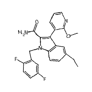 CCc1ccc2c(c1)c(-c1cccnc1OC)c(C(N)=O)n2Cc1cc(F)ccc1F